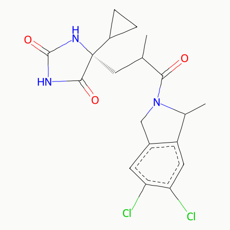 CC(C[C@@]1(C2CC2)NC(=O)NC1=O)C(=O)N1Cc2cc(Cl)c(Cl)cc2C1C